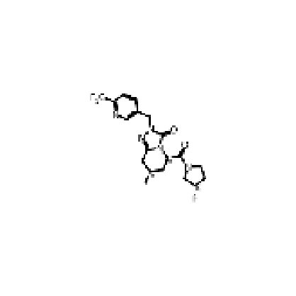 C[C@H]1Cc2nn(Cc3ccc(C(F)(F)F)nc3)c(=O)n2[C@@H](C(=O)N2CC[C@H](F)C2)C1